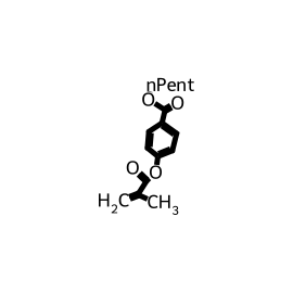 C=C(C)C(=O)Oc1ccc(C(=O)OCCCCC)cc1